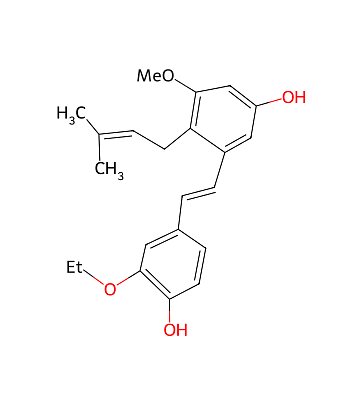 CCOc1cc(C=Cc2cc(O)cc(OC)c2CC=C(C)C)ccc1O